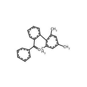 Cc1cc(C)c(-c2c[c]ccc2C(=O)c2ccccc2)c(C)c1